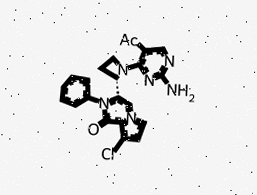 CC(=O)c1cnc(N)nc1N1CC[C@H]1c1cn2ccc(Cl)c2c(=O)n1-c1ccccc1